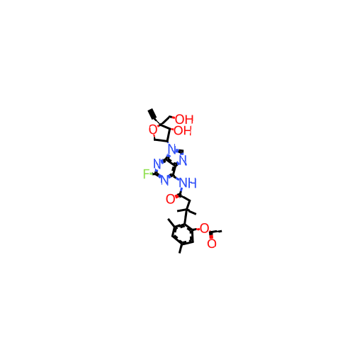 C#C[C@]1(CO)OC[C@@H](n2cnc3c(NC(=O)CC(C)(C)c4c(C)cc(C)cc4OC(C)=O)nc(F)nc32)[C@@H]1O